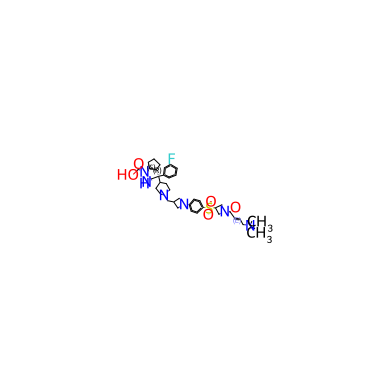 CN(C)C/C=C/C(=O)N1CC(S(=O)(=O)c2ccc(N3CC(CN4CCC(C(C#N)(c5cccc(F)c5)[C@H]5CCC[C@@H]5NC(=O)O)CC4)C3)cc2)C1